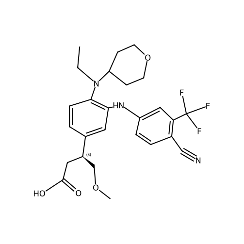 CCN(c1ccc([C@@H](COC)CC(=O)O)cc1Nc1ccc(C#N)c(C(F)(F)F)c1)C1CCOCC1